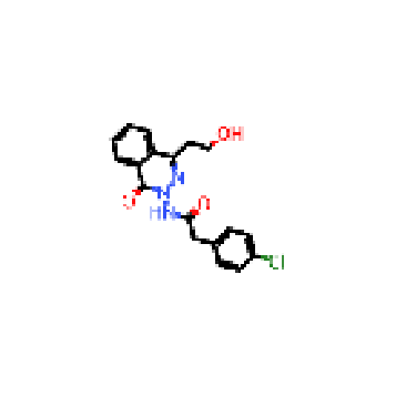 O=C(Cc1ccc(Cl)cc1)Nn1nc(CCO)c2ccccc2c1=O